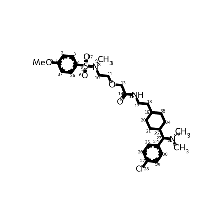 COc1ccc(S(=O)(=O)N(C)CCOCC(=O)NCCC2CCC(C(c3ccc(Cl)cc3)N(C)C)CC2)cc1